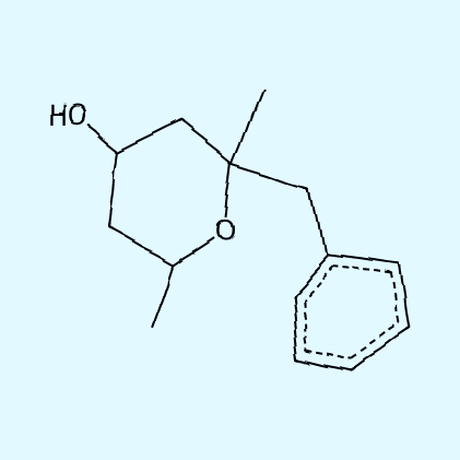 CC1CC(O)CC(C)(Cc2ccccc2)O1